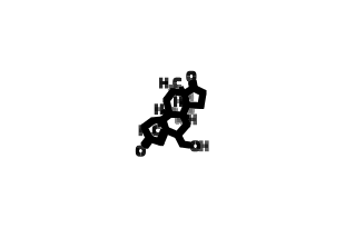 C[C@]12CCC(=O)C=C1C(CO)C[C@@H]1[C@H]2CC[C@]2(C)C(=O)CC[C@@H]12